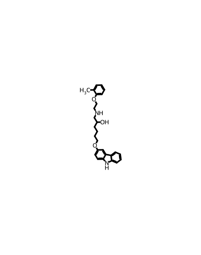 Cc1ccccc1OCCNCC(O)CCCCOc1ccc2[nH]c3ccccc3c2c1